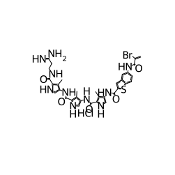 C=C(Br)C(=O)Nc1ccc2sc(C(=O)Nc3c[nH]c(C(=O)Nc4c[nH]c(C(=O)Nc5c[nH]c(C(=O)NCCC(=N)N)c5C)c4C)c3C)cc2c1.Cl